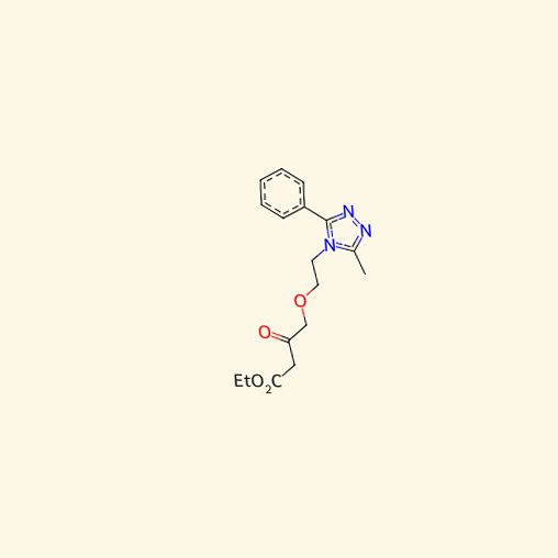 CCOC(=O)CC(=O)COCCn1c(C)nnc1-c1ccccc1